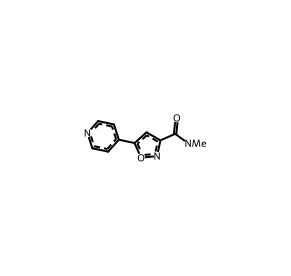 CNC(=O)c1cc(-c2ccncc2)on1